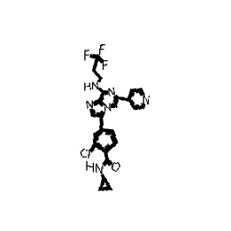 O=C(NC1CC1)c1ccc(-c2cnc3c(NCCC(F)(F)F)nc(-c4ccncc4)cn23)cc1Cl